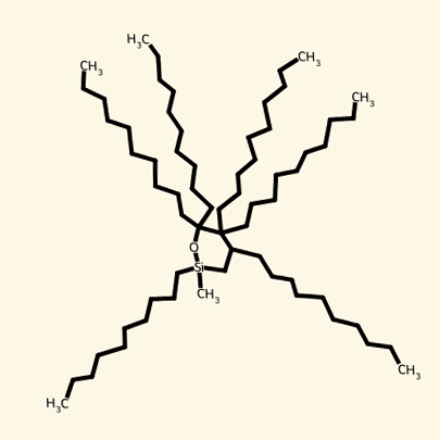 CCCCCCCCCCC1C[Si](C)(CCCCCCCCCC)OC(CCCCCCCCCC)(CCCCCCCCCC)C1(CCCCCCCCCC)CCCCCCCCCC